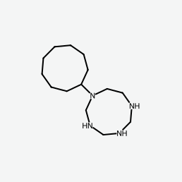 C1CCCCC(N2CCNCNCNC2)CCC1